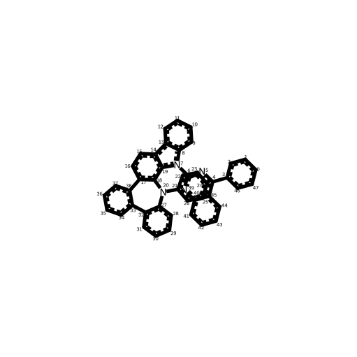 c1ccc(-c2nc(-n3c4ccccc4c4ccc5c(c43)N(c3ccccc3)c3ccccc3-c3ccccc3-5)nc3ccccc23)cc1